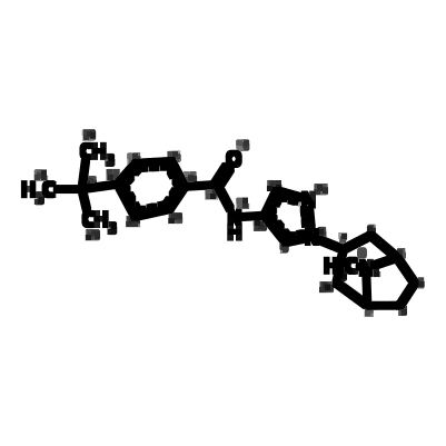 CN1C2CCC1CC(n1cc(NC(=O)c3ccc(C(C)(C)C)cc3)cn1)C2